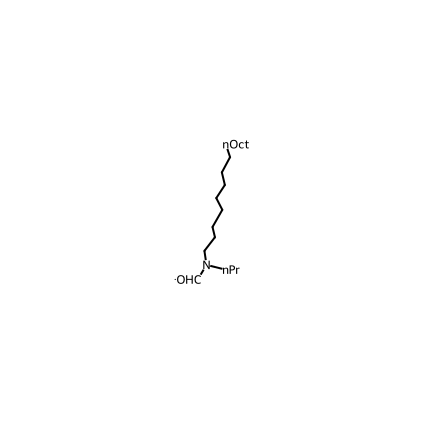 CCCCCCCCCCCCCCCCN([C]=O)CCC